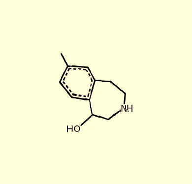 Cc1ccc2c(c1)CCNCC2O